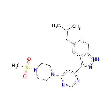 CC(C)=Cc1ccc2[nH]nc(-c3cc(N4CCN(S(C)(=O)=O)CC4)ncn3)c2c1